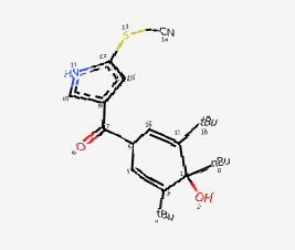 CCCCC1(O)C(C(C)(C)C)=CC(C(=O)c2c[nH]c(SC#N)c2)C=C1C(C)(C)C